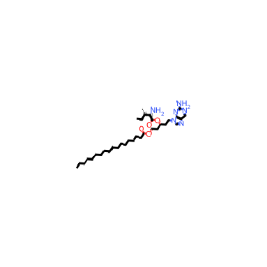 CCCCCCCCCCCCCCCCCC(=O)OCCC(CCn1cnc2cnc(N)nc21)OC(=O)[C@@H](N)[C@@H](C)CC